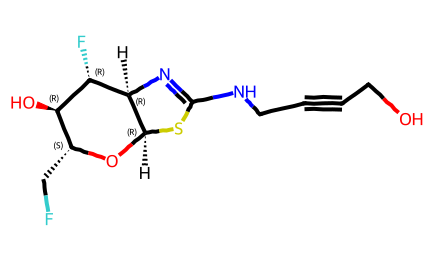 OCC#CCNC1=N[C@@H]2[C@@H](F)[C@H](O)[C@@H](CF)O[C@@H]2S1